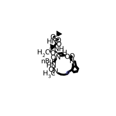 C=C[C@@H]1C[C@]1(NC(=O)[C@@H]1C[C@@H]2CN1C(=O)[C@H](CCCC)NC(=O)N(C)CCC/C=C/c1cccc3c1CN(C3)C(=O)O2)C(=O)NS(=O)(=O)C1CC1